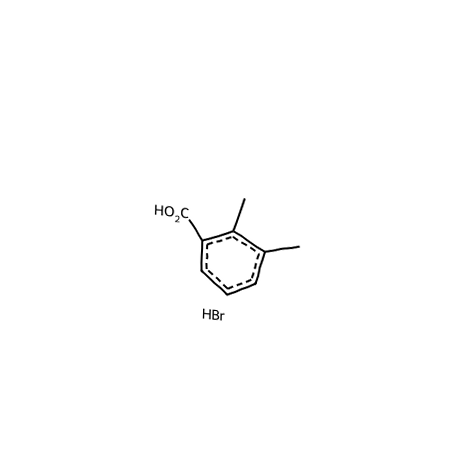 Br.Cc1cccc(C(=O)O)c1C